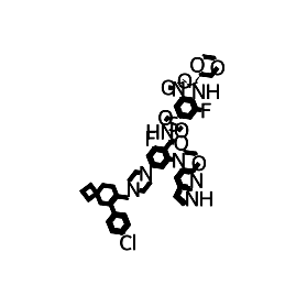 O=C(NS(=O)(=O)c1cc(F)c(NC[C@H]2COCCO2)c([N+](=O)[O-])c1)c1c(F)cc(N2CCN(CC3=C(c4ccc(Cl)cc4)CC4(CCC4)CC3)CC2)cc1N1CCOc2nc3[nH]ccc3cc21